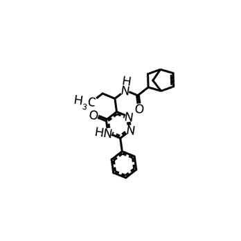 CCC(NC(=O)C1CC2C=CC1C2)c1nnc(-c2ccccc2)[nH]c1=O